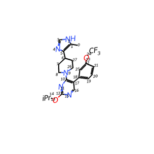 Cc1[nH]cnc1C1CCN(c2nc(OC(C)C)ncc2-c2cccc(OC(F)(F)F)c2)CC1